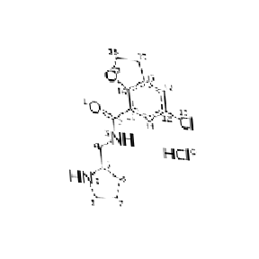 Cl.O=C(NCC1CCCN1)c1cc(Cl)cc2c1OCC2